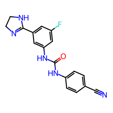 N#Cc1ccc(NC(=O)Nc2cc(F)cc(C3=NCCN3)c2)cc1